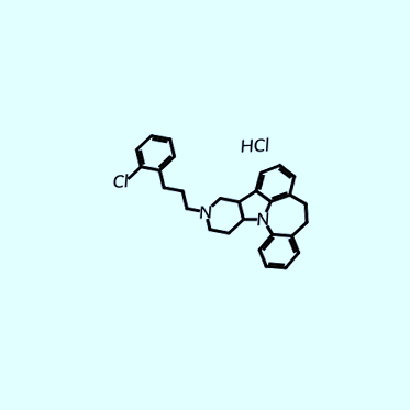 Cl.Clc1ccccc1CCCN1CCC2C(C1)c1cccc3c1N2c1ccccc1CC3